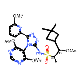 COc1cccc(-c2nnc(NS(=O)(=O)[C@H](C)[C@H](OC)C3CC(C)(C)C3)n2-c2c(OC)ncnc2OC)n1